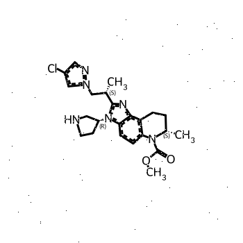 COC(=O)N1c2ccc3c(nc([C@@H](C)Cn4cc(Cl)cn4)n3[C@@H]3CCNC3)c2CC[C@@H]1C